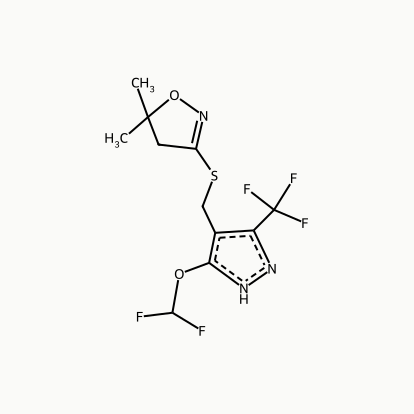 CC1(C)CC(SCc2c(C(F)(F)F)n[nH]c2OC(F)F)=NO1